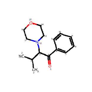 CC(C#N)C(C(=O)c1ccccc1)N1CCOCC1